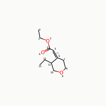 CCOC(=O)/C=C1/CCOCC1CC